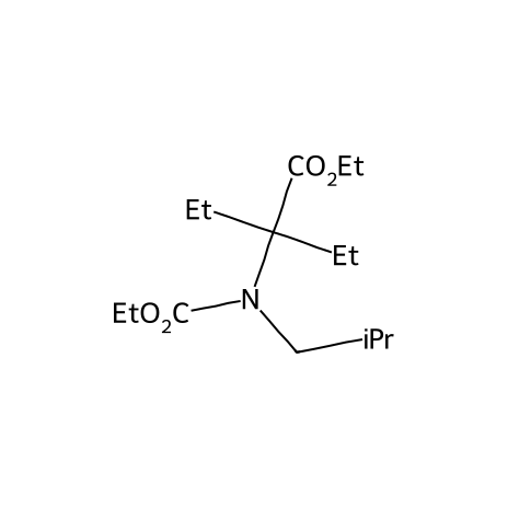 CCOC(=O)N(CC(C)C)C(CC)(CC)C(=O)OCC